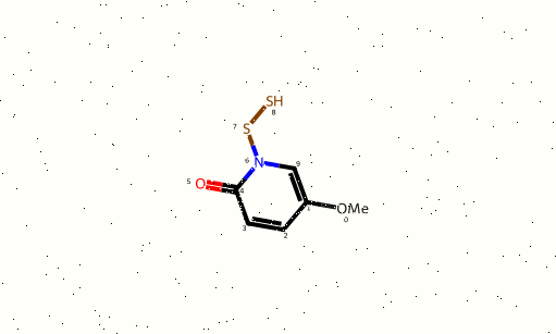 COc1ccc(=O)n(SS)c1